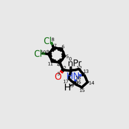 CCCC1(C(=O)c2ccc(Cl)c(Cl)c2)CC2CC[C@@H](C1)N2